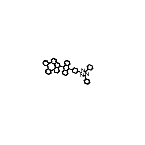 c1ccc(-c2nc(-c3ccccc3)nc(-c3ccc(-c4c5ccccc5c(-c5cc6cccc7c8ccccc8c8ccccc8c8cccc5c8c67)c5ccccc45)cc3)n2)cc1